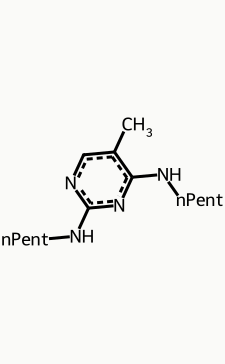 CCCCCNc1ncc(C)c(NCCCCC)n1